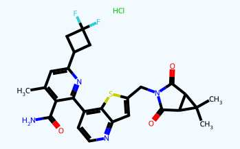 Cc1cc(C2CC(F)(F)C2)nc(-c2ccnc3cc(CN4C(=O)C5C(C4=O)C5(C)C)sc23)c1C(N)=O.Cl